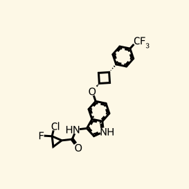 O=C(Nc1c[nH]c2ccc(O[C@H]3C[C@@H](c4ccc(C(F)(F)F)cc4)C3)cc12)C1CC1(F)Cl